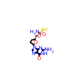 Nc1nc2c(ncn2[C@H]2CC[C@@H](CO[P@@](N)(=O)S)O2)c(=O)[nH]1